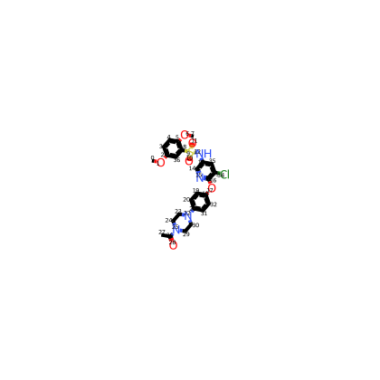 COc1ccc(OC)c(S(=O)(=O)Nc2cnc(Oc3ccc(N4CCN(C(C)=O)CC4)cc3)c(Cl)c2)c1